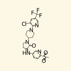 CS(=O)(=O)c1ccc(N[C@H]2CCN(C3CCN(c4ncc(C(F)(F)F)cc4Cl)CC3)C2=O)cn1